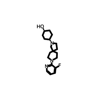 O[C@H]1CC[C@@H](N2CCC3(CCN(c4ncccc4F)CC3)C2)CC1